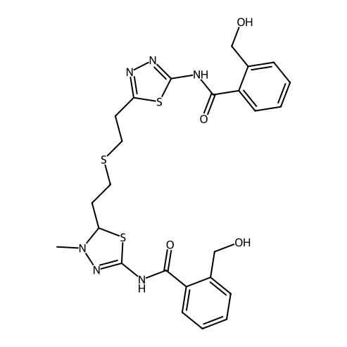 CN1N=C(NC(=O)c2ccccc2CO)SC1CCSCCc1nnc(NC(=O)c2ccccc2CO)s1